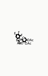 CC(=O)O[C@@H]1[C@H](OC(C)=O)[C@H](OC(C)=O)CO[C@H]1n1c(Br)nc2cc(F)c(F)c(F)c21